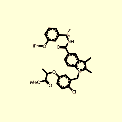 COC(=O)C(C)Oc1ccc(Cl)c(Cn2c(C)c(C)c3cc(C(=O)N[C@@H](C)c4cccc(OC(C)C)c4)ccc32)c1